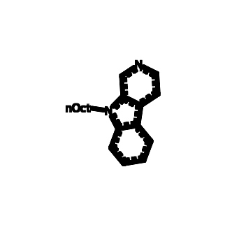 CCCCCCCCn1c2ccccc2c2ccncc21